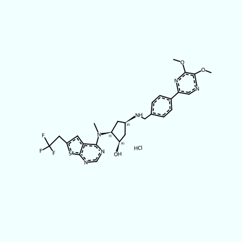 COc1ncc(-c2ccc(CN[C@H]3C[C@@H](O)[C@@H](N(C)c4ncnc5sc(CC(F)(F)F)cc45)C3)cc2)nc1OC.Cl